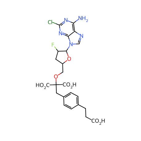 Nc1nc(Cl)nc2c1ncn2C1OC(COC(Cc2ccc(CCC(=O)O)cc2)(C(=O)O)C(=O)O)CC1F